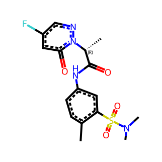 Cc1ccc(NC(=O)[C@@H](C)n2ncc(F)cc2=O)cc1S(=O)(=O)N(C)C